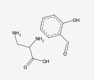 NCC(N)C(=O)O.O=Cc1ccccc1O